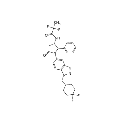 CC(F)(F)C(=O)NC1CC(=O)N(c2ccc3c(cnn3CC3CCC(F)(F)CC3)c2)[C@@H]1c1ccccc1